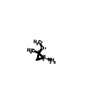 COC1(C)C[C@H]1N